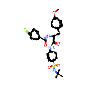 COc1ccc(CC(NC(=O)c2ccc(F)cc2)C(=O)Nc2ccc(S(=O)(=O)NC(C)(C)C)cc2)cc1